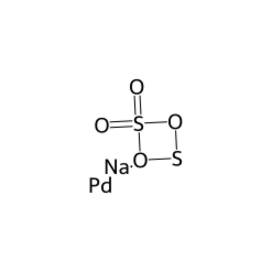 O=S1(=O)OSO1.[Na].[Pd]